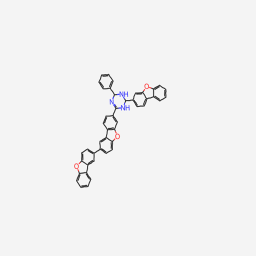 c1ccc(C2N=C(c3ccc4c(c3)oc3ccc(-c5ccc6oc7ccccc7c6c5)cc34)NC(c3ccc4c(c3)oc3ccccc34)N2)cc1